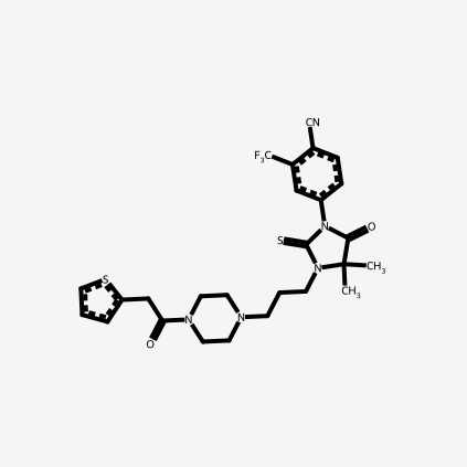 CC1(C)C(=O)N(c2ccc(C#N)c(C(F)(F)F)c2)C(=S)N1CCCN1CCN(C(=O)Cc2cccs2)CC1